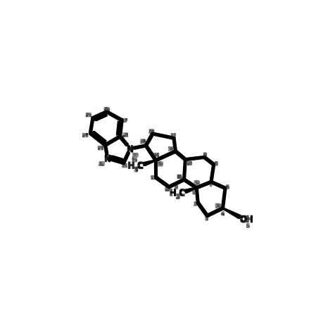 C[C@]12CC[C@H](O)CC1CCC1C2CC[C@@]2(C)C1CCC2n1cnc2ccccc21